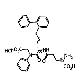 Cl.N[C@@H](CCC(=O)N[C@@H](CSCc1ccccc1-c1ccccc1)C(=O)N(CC(=O)O)c1ccccc1)C(=O)O